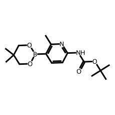 Cc1nc(NC(=O)OC(C)(C)C)ccc1B1OCC(C)(C)CO1